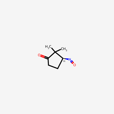 CC1(C)C(=O)CC[C@@H]1N=O